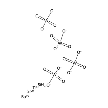 [Ba+2].[O]=[W](=[O])([O-])[O-].[O]=[W](=[O])([O-])[O-].[O]=[W](=[O])([O-])[O-].[O]=[W](=[O])([O-])[O-].[SiH4].[Sr+2].[Ti+4]